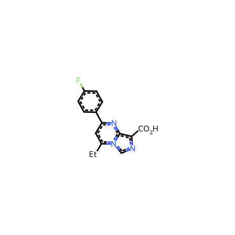 CCc1cc(-c2ccc(F)cc2)nc2c(C(=O)O)ncn12